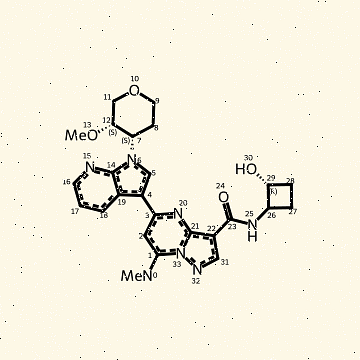 CNc1cc(-c2cn([C@H]3CCOC[C@H]3OC)c3ncccc23)nc2c(C(=O)NC3CC[C@H]3O)cnn12